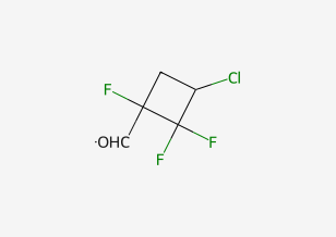 O=[C]C1(F)CC(Cl)C1(F)F